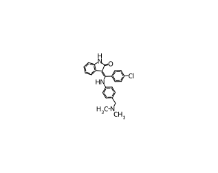 CN(C)Cc1ccc(NC(=C2C(=O)Nc3ccccc32)c2ccc(Cl)cc2)cc1